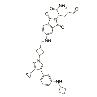 NC(=O)C(CCC=O)N1C(=O)c2ccc(NCC3CC(n4cc(-c5cccc(NC6CCC6)n5)c(C5CC5)n4)C3)cc2C1=O